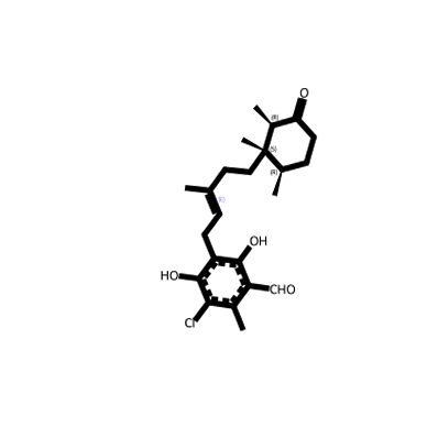 C/C(=C\Cc1c(O)c(Cl)c(C)c(C=O)c1O)CC[C@@]1(C)[C@H](C)CCC(=O)[C@@H]1C